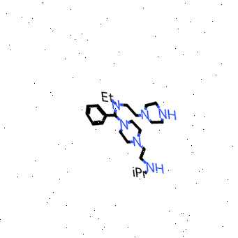 CCN(CCN1CCNCC1)C(c1ccccc1)N1CCN(CCNC(C)C)CC1